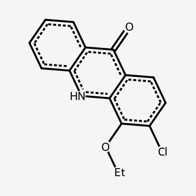 CCOc1c(Cl)ccc2c(=O)c3ccccc3[nH]c12